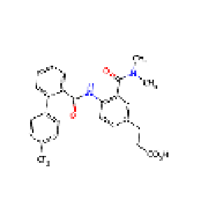 CN(C)C(=O)c1cc(CCC(=O)O)ccc1NC(=O)c1ccccc1-c1ccc(C(F)(F)F)cc1